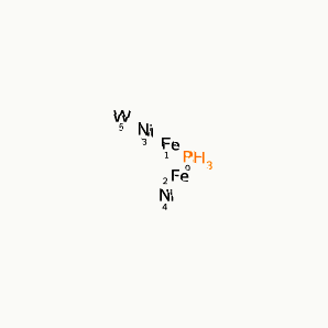 P.[Fe].[Fe].[Ni].[Ni].[W]